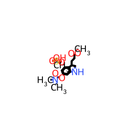 CCN(C)C(=O)Oc1ccc2c(c1)NCC2CCC(=O)OC.CS(=O)(=O)O